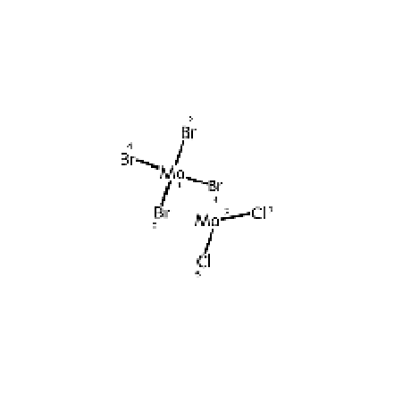 [Br][Mo]([Br])([Br])[Br].[Cl][Mo][Cl]